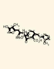 CO[C@@]1(NC(=O)Cc2onc(O)c2C)C(=O)N2C(C(=O)O)=C(CSc3nnnn3C)CS[C@@H]21